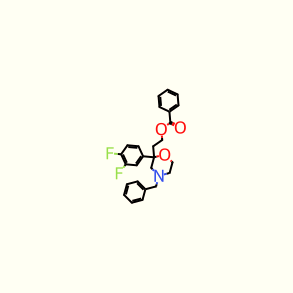 O=C(OCCC1(c2ccc(F)c(F)c2)CN(Cc2ccccc2)CCO1)c1ccccc1